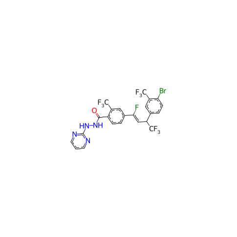 O=C(NNc1ncccn1)c1ccc(C(F)=CC(c2ccc(Br)c(C(F)(F)F)c2)C(F)(F)F)cc1C(F)(F)F